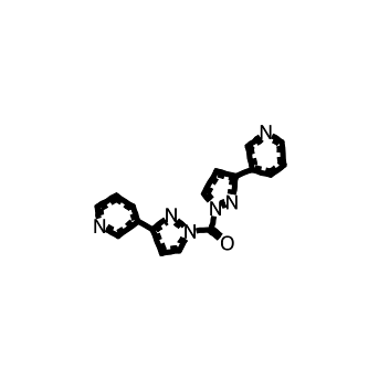 O=C(n1ccc(-c2cccnc2)n1)n1ccc(-c2cccnc2)n1